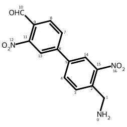 NCc1ccc(-c2ccc(C=O)c([N+](=O)[O-])c2)cc1[N+](=O)[O-]